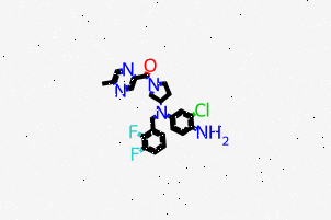 Cc1cnc(C(=O)N2CC[C@H](N(Cc3cccc(F)c3F)c3ccc(N)c(Cl)c3)C2)cn1